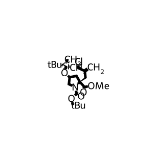 C=C(CCl)C[C@]1(C(=O)OC)CC(O[Si](C)(C)C(C)(C)C)CN1C(=O)OC(C)(C)C